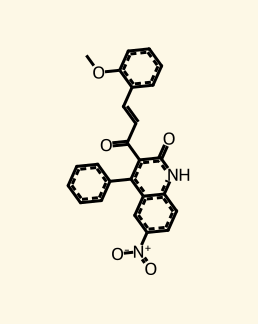 COc1ccccc1C=CC(=O)c1c(-c2ccccc2)c2cc([N+](=O)[O-])ccc2[nH]c1=O